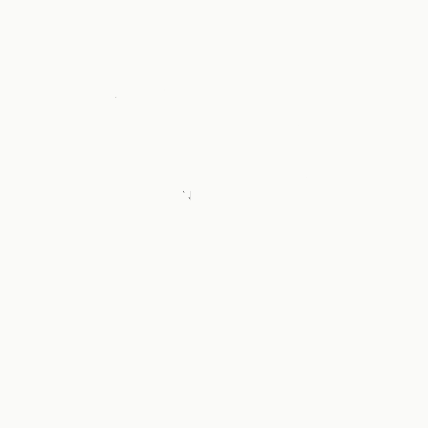 CC1(C)c2ccccc2-c2cc(N(c3ccc(-c4ccccc4-c4ccccc4)cc3)c3ccc(-c4cc5ccccc5c5ccccc45)cc3)ccc21